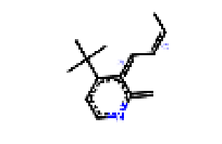 C=c1nccc(C(C)(C)C)/c1=C/C=C\C